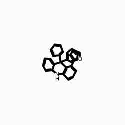 c1ccc(C2(c3ccccc3)c3ccccc3Nc3cccc(-c4ccco4)c32)cc1